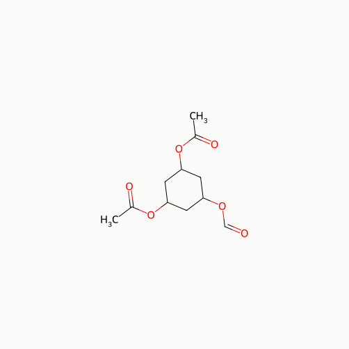 CC(=O)OC1CC(OC=O)CC(OC(C)=O)C1